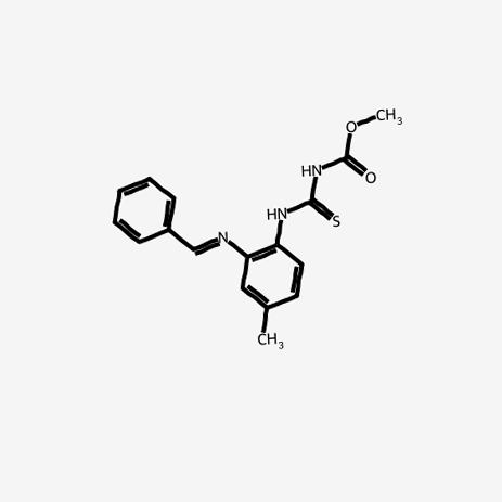 COC(=O)NC(=S)Nc1ccc(C)cc1/N=C/c1ccccc1